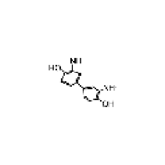 [NH]c1cc(-c2ccc(O)c([NH])c2)ccc1O